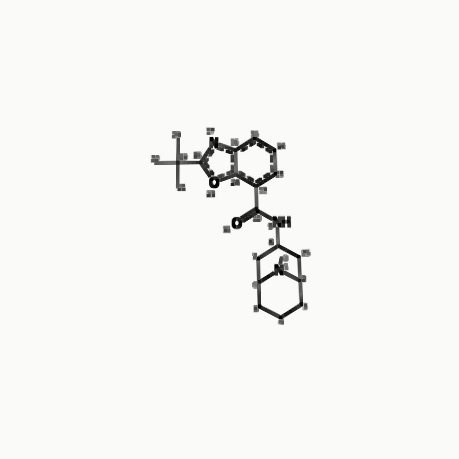 CN1C2CCCC1CC(NC(=O)c1cccc3nc(C(C)(C)C)oc13)C2